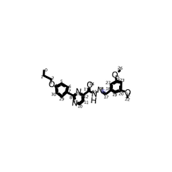 CCCOc1ccc(-c2nccc(C(=O)N/N=C/c3cc(OC)cc(OC)c3)n2)cc1